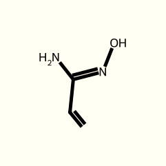 C=CC(N)=NO